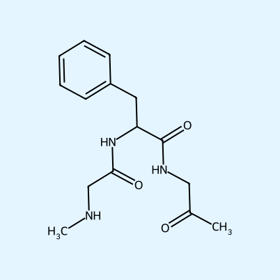 CNCC(=O)NC(Cc1ccccc1)C(=O)NCC(C)=O